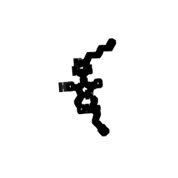 C#CCCCCN1C(=O)N(c2nnc(CCCC=C)s2)C(O)C1COC